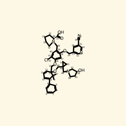 CC1(C)C(c2ccccc2)=CC=CC1(COc1cc(OCc2cncc(C#N)c2)c(CN2CCCC[C@H]2C(=O)O)cc1Cl)OCC1(CN2CC[C@@H](O)C2)CC1